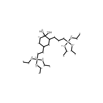 CCO[Si](CCCC1CC(CC[Si](OCC)(OCC)OCC)CCC1(O)S)(OCC)OCC